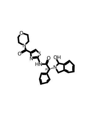 O=C(Nc1nc(C(=O)N2CCOCC2)cs1)[C@@H](c1ccccc1)N1Cc2ccccc2C1O